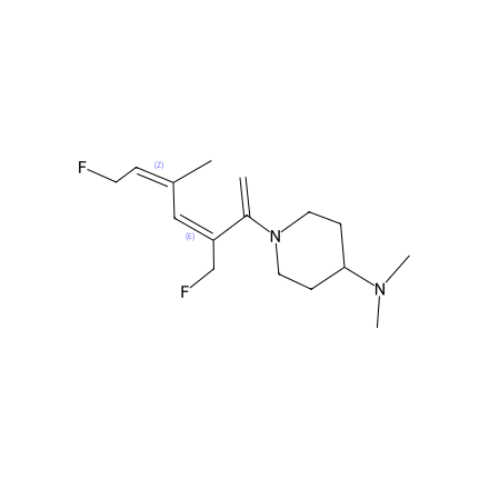 C=C(/C(=C\C(C)=C/CF)CF)N1CCC(N(C)C)CC1